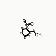 O=[N+]([O-])C1=C(CO)C=CCC1